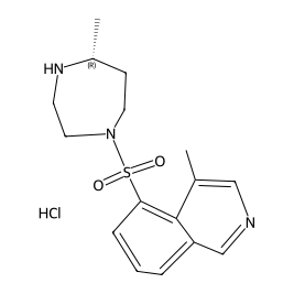 Cc1cncc2cccc(S(=O)(=O)N3CCN[C@H](C)CC3)c12.Cl